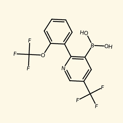 OB(O)c1cc(C(F)(F)F)cnc1-c1ccccc1OC(F)(F)F